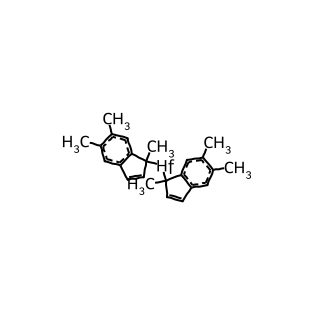 Cc1cc2c(cc1C)[C](C)([Hf][C]1(C)C=Cc3cc(C)c(C)cc31)C=C2